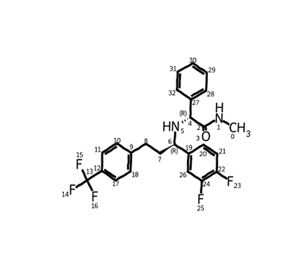 CNC(=O)[C@H](N[C@H](CCc1ccc(C(F)(F)F)cc1)c1ccc(F)c(F)c1)c1ccccc1